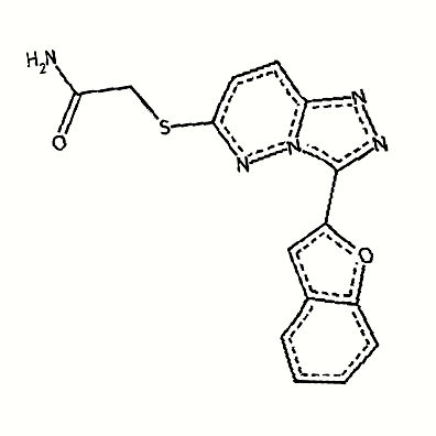 NC(=O)CSc1ccc2nnc(-c3cc4ccccc4o3)n2n1